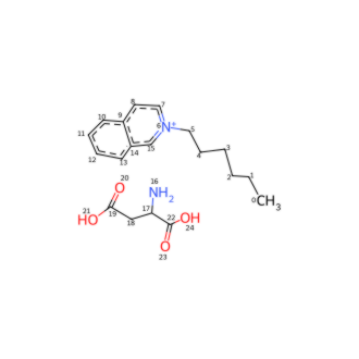 CCCCCC[n+]1ccc2ccccc2c1.NC(CC(=O)O)C(=O)O